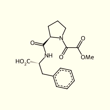 COC(=O)C(=O)N1CCC[C@@H]1C(=O)N[C@H](Cc1ccccc1)C(=O)O